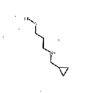 CCSCCCNCC1CC1